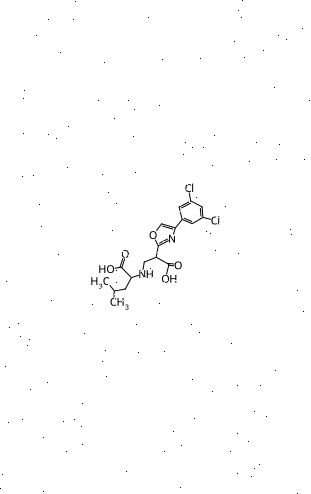 CC(C)CC(NCC(C(=O)O)c1nc(-c2cc(Cl)cc(Cl)c2)co1)C(=O)O